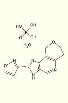 O.O=P(O)(O)O.c1cc(-c2nc3c4c(ncc3[nH]2)CCOC4)no1